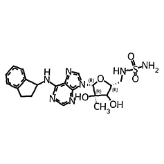 C[C@@]1(O)C(O)[C@@H](CNS(N)(=O)=O)O[C@H]1n1cnc2c(NC3CCc4ccccc43)ncnc21